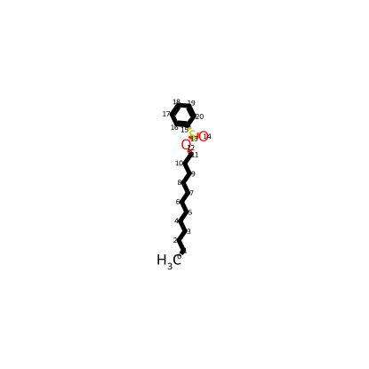 CCCCCCCCCCCCOS(=O)c1ccccc1